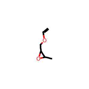 C=COCC1OC1C